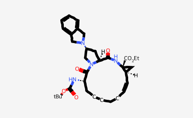 CCOC(=O)[C@@]12C[C@H]1/C=C\CCCCC[C@H](NC(=O)OC(C)(C)C)C(=O)N1C[C@H](N3Cc4ccccc4C3)C[C@H]1C(=O)N2